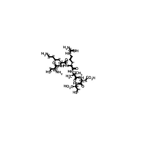 CC(C)(NC(=O)[C@H](CCCNC(=N)N)NC(=O)[C@H](CCCCN)NC(=O)[C@@H](N)CS)C(=O)N[C@@H](CC(=O)O)C(=O)N[C@@H](CS)C(=O)O